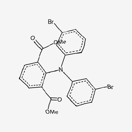 COC(=O)c1cccc(C(=O)OC)c1N(c1cccc(Br)c1)c1cccc(Br)c1